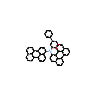 c1ccc(-c2cccc(N(c3ccc4c5cccc6cccc(c7cccc3c74)c65)c3ccc4cccc5c6cccc7cccc(c3c45)c76)c2)cc1